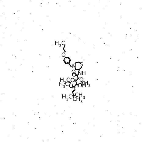 CCCCOc1ccc(CN2CCSCC(NC(=O)[C@H](OC)[C@@H]3OC(C)(C)O[C@H](C=CC(C)(C)C)[C@@H]3O)C2=O)cc1